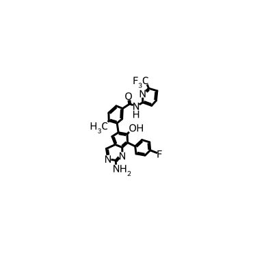 Cc1ccc(C(=O)Nc2cccc(C(F)(F)F)n2)cc1-c1cc2cnc(N)nc2c(-c2ccc(F)cc2)c1O